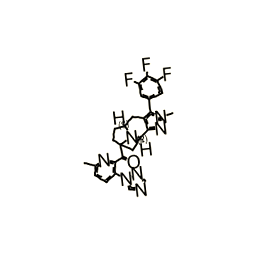 Cc1ccc(-n2cncn2)c(C(=O)C23CC[C@H]4Cc5c(nn(C)c5-c5cc(F)c(F)c(F)c5)[C@@H](C2)N43)n1